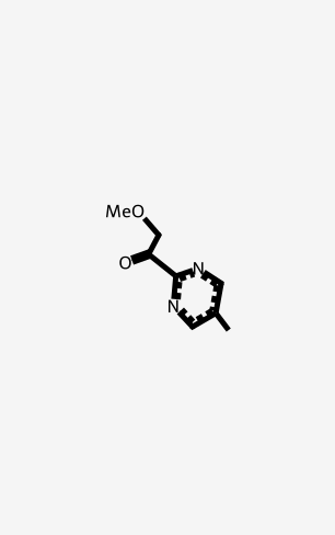 COCC(=O)c1ncc(C)cn1